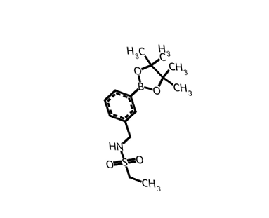 CCS(=O)(=O)NCc1cccc(B2OC(C)(C)C(C)(C)O2)c1